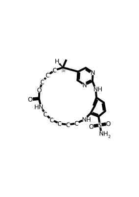 C[C@H]1CCCOC(=O)NCCCCCNc2cc(ccc2S(N)(=O)=O)Nc2ncc1cn2